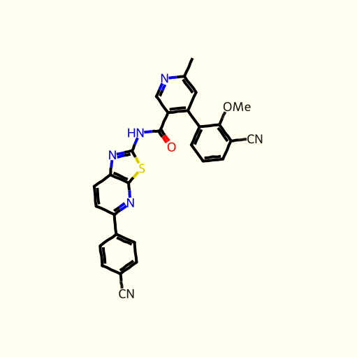 COc1c(C#N)cccc1-c1cc(C)ncc1C(=O)Nc1nc2ccc(-c3ccc(C#N)cc3)nc2s1